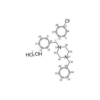 Cl.Cl.Clc1ccc([C@@H](c2ccccc2)N2CCN(Cc3ccccc3)CC2)cc1